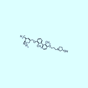 C=C(C#N)/C=C(\CC)COc1cccc(-c2cccc(OCCCN3CC[C@@H](O)C3)c2C)c1C